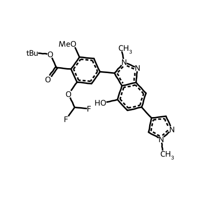 COc1cc(-c2c3c(O)cc(-c4cnn(C)c4)cc3nn2C)cc(OC(F)F)c1C(=O)OC(C)(C)C